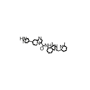 Cc1cccc(Cn2nc(C)c3c(NC(=O)c4cnc5cc(-c6cn[nH]c6)ccn45)cccc32)n1